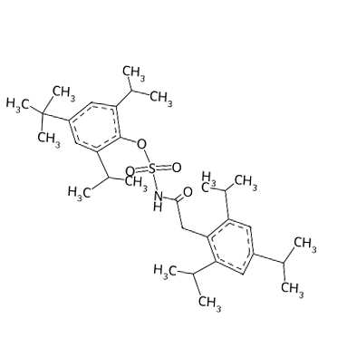 CC(C)c1cc(C(C)C)c(CC(=O)NS(=O)(=O)Oc2c(C(C)C)cc(C(C)(C)C)cc2C(C)C)c(C(C)C)c1